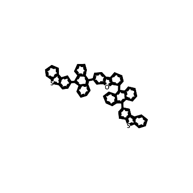 c1ccc2c(c1)sc1ccc(-c3c4ccccc4c(-c4ccc5c(c4)oc4c(-c6c7ccccc7c(-c7ccc8sc9ccccc9c8c7)c7ccccc67)cccc45)c4ccccc34)cc12